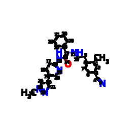 Cc1cc(C#N)ccc1CCN[C@H](C(=O)Nc1ccc(-c2cnn(C)c2)cn1)c1ccccc1